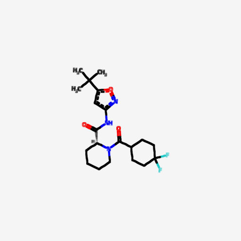 CC(C)(C)c1cc(NC(=O)[C@H]2CCCCN2C(=O)C2CCC(F)(F)CC2)no1